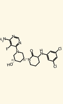 Nc1ncnc(N2C[C@@H](O)C[C@@H](N3CCCC(Nc4cc(Cl)cc(Cl)c4)C3=O)C2)c1F